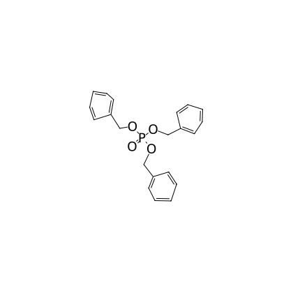 O=P(OCc1ccccc1)(OCc1ccccc1)OCc1ccccc1